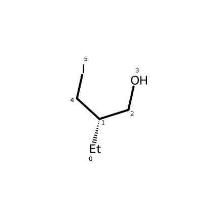 CC[C@@H](CO)CI